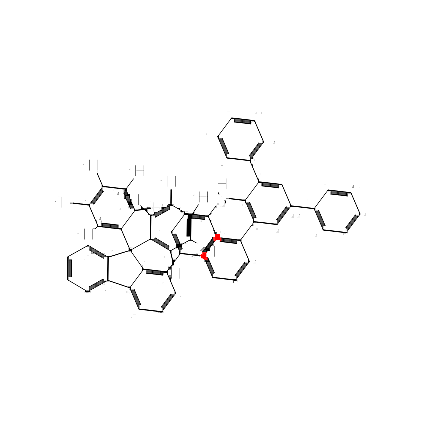 [2H]c1c([2H])c([2H])c(C2(c3c([2H])c([2H])c([2H])c([2H])c3[2H])c3ccccc3-c3cccc(-c4ccc(Nc5c(-c6ccccc6)cc(-c6ccccc6)cc5-c5ccccc5)cc4)c32)c([2H])c1[2H]